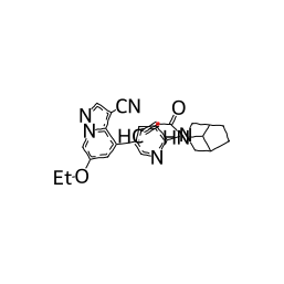 C#CC(=O)NC1C2CCC1CN(c1ccc(-c3cc(OCC)cn4ncc(C#N)c34)cn1)C2